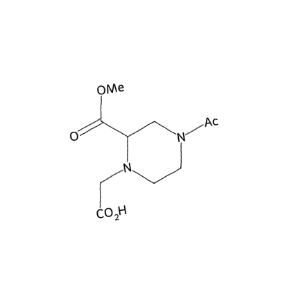 COC(=O)C1CN(C(C)=O)CCN1CC(=O)O